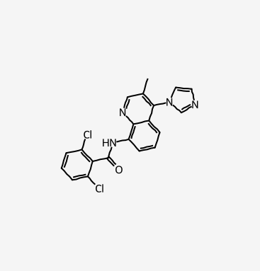 Cc1cnc2c(NC(=O)c3c(Cl)cccc3Cl)cccc2c1-n1ccnc1